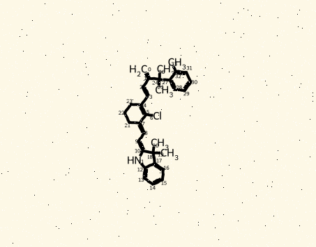 C=C(/C=C/C1=C(Cl)C(=C/C=C2/Nc3ccccc3C2(C)C)/CCC1)C(C)(C)c1ccccc1C